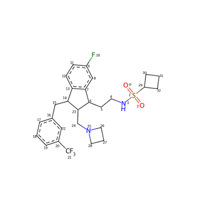 O=S(=O)(NCCC1c2cc(F)ccc2C(Cc2cccc(C(F)(F)F)c2)C1CN1CCC1)C1CCC1